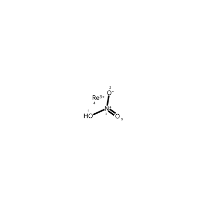 O=[N+]([O-])O.[Re+3]